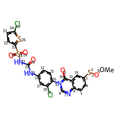 COOSc1ccc2ncn(-c3ccc(NC(=O)NS(=O)(=O)c4ccc(Cl)s4)cc3Cl)c(=O)c2c1